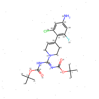 CC(C)(C)OC(=O)/N=C(/NC(=O)OC(C)(C)C)N1CC=C(c2c(F)cc(N)cc2Cl)CC1